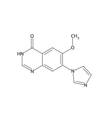 COc1cc2c(=O)[nH]cnc2cc1-n1ccnc1